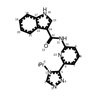 CC(C)n1cnnc1-c1cccc(NC(=O)c2c[nH]c3ccccc23)n1